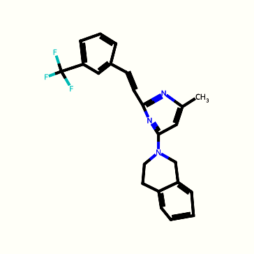 Cc1cc(N2CCc3ccccc3C2)nc(C=Cc2cccc(C(F)(F)F)c2)n1